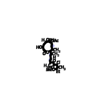 CCC(OC)C(C)C(Cl)C(O)C(O)C(C)/C=C/C=C(\C)C1OC(=O)CC(O)CCC(C)(O)C(OC(C)=O)/C=C/C1C